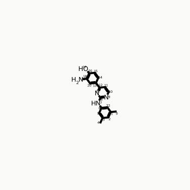 Cc1cc(C)cc(Nc2nccc(-c3ccc(O)c(N)c3)n2)c1